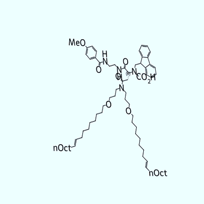 CCCCCCCCC=CCCCCCCCCOCCCN(CCCOCCCCCCCCC=CCCCCCCCC)C(=O)C[C@H](C(=O)NCCNC(=O)c1ccc(OC)cc1)N(CC1c2ccccc2-c2ccccc21)C(=O)O